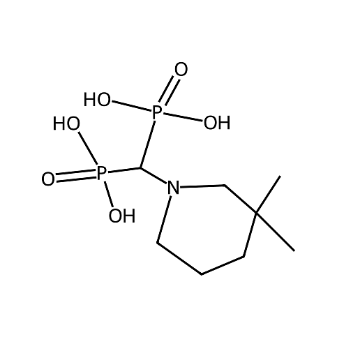 CC1(C)CCCN(C(P(=O)(O)O)P(=O)(O)O)C1